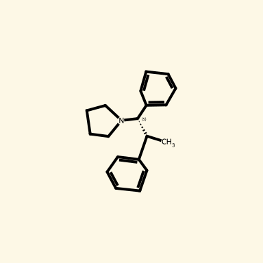 CC(c1ccccc1)[C@@H](c1ccccc1)N1CCCC1